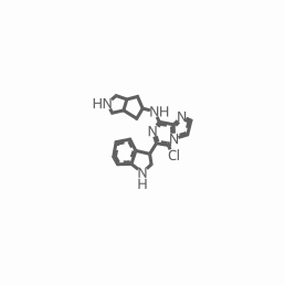 Clc1c(C2CNc3ccccc32)nc(NC2CC3CNCC3C2)c2nccn12